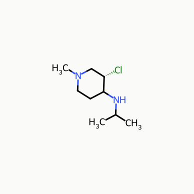 CC(C)NC1CCN(C)C[C@@H]1Cl